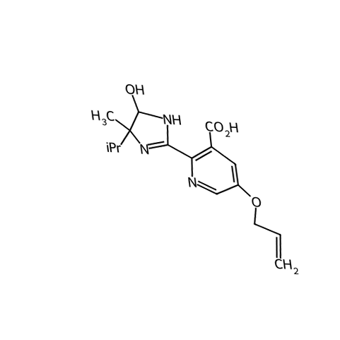 C=CCOc1cnc(C2=NC(C)(C(C)C)C(O)N2)c(C(=O)O)c1